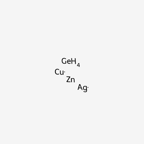 [Ag].[Cu].[GeH4].[Zn]